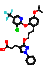 CC(C)Oc1ccc(CCCOc2nn(-c3ccccc3)cc2CCC(=O)O)c(Oc2ncc(C(F)(F)F)cc2Cl)c1